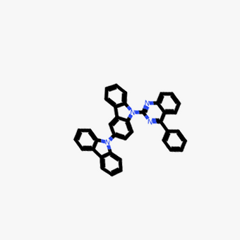 c1ccc(-c2nc(-n3c4ccccc4c4cc(-n5c6ccccc6c6ccccc65)ccc43)nc3ccccc23)cc1